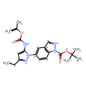 C=C(C)OC(=O)Nc1cc(CC)nn1-c1ccc2c(cnn2C(=O)OC(C)(C)C)c1